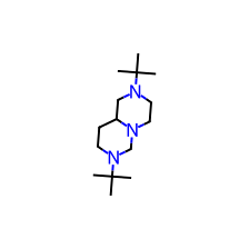 CC(C)(C)N1CCN2CN(C(C)(C)C)CCC2C1